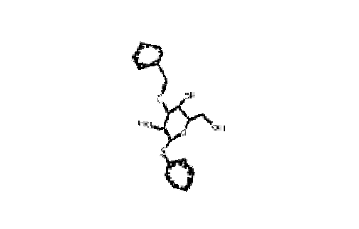 OCC1OC(Sc2ccccc2)C(O)C(OCc2ccccc2)C1O